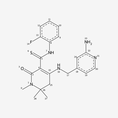 CN1C(=O)C(C(=S)Nc2ccccc2F)=C(NCc2ccnc(N)c2)CC1(C)C